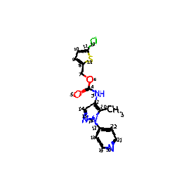 Cc1c(NC(=O)OCc2ccc(Cl)s2)cnn1-c1ccncc1